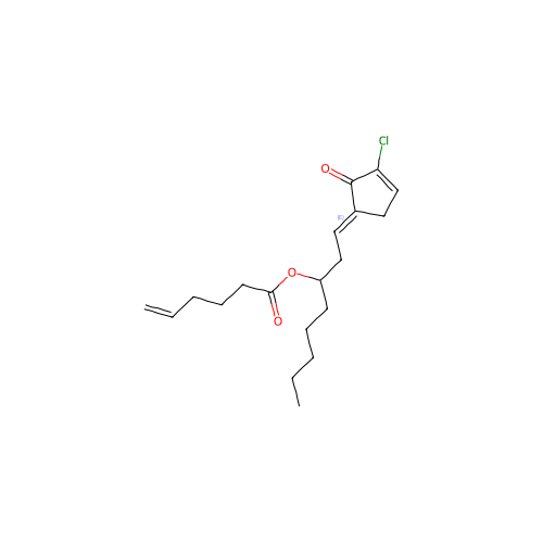 C=CCCCC(=O)OC(C/C=C1\CC=C(Cl)C1=O)CCCCC